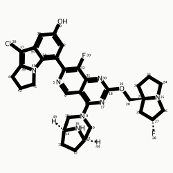 Oc1cc(-c2ncc3c(N4C[C@H]5CC[C@@H](C4)N5)nc(OC[C@@]45CCCN4C[C@H](F)C5)nc3c2F)c2c(c1)c(Cl)c1n2CCC1